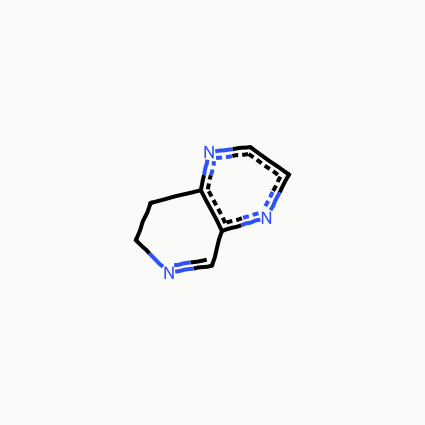 C1=NCCc2nccnc21